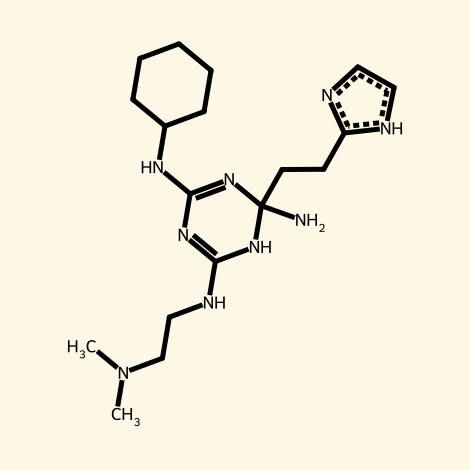 CN(C)CCNC1=NC(NC2CCCCC2)=NC(N)(CCc2ncc[nH]2)N1